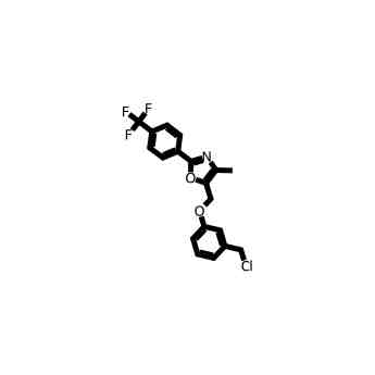 Cc1nc(-c2ccc(C(F)(F)F)cc2)oc1COc1cccc(CCl)c1